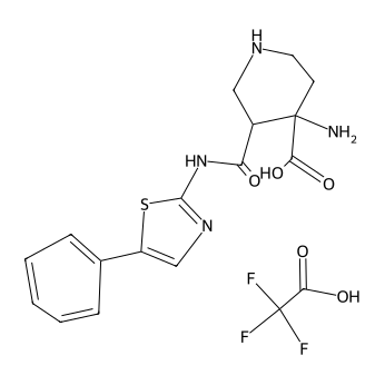 NC1(C(=O)O)CCNCC1C(=O)Nc1ncc(-c2ccccc2)s1.O=C(O)C(F)(F)F